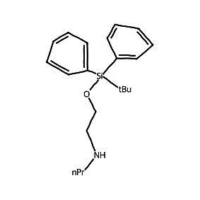 CCCNCCO[Si](c1ccccc1)(c1ccccc1)C(C)(C)C